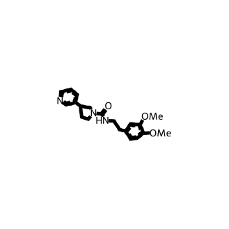 COc1ccc(CCNC(=O)N2CCC(c3cccnc3)C2)cc1OC